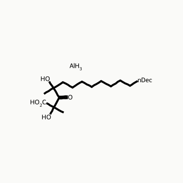 CCCCCCCCCCCCCCCCCCC(C)(O)C(=O)C(C)(O)C(=O)O.[AlH3]